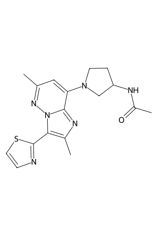 CC(=O)NC1CCN(c2cc(C)nn3c(-c4nccs4)c(C)nc23)C1